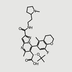 Cc1nc2cc(C(=O)NCCC3CCCN3C)nn2c(-c2cc(F)c3c(c2C)CCCO3)c1[C@H](OC(C)(C)C)C(=O)O